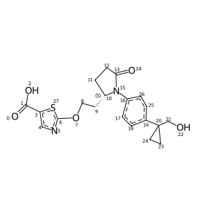 O=C(O)c1cnc(OCC[C@@H]2CCC(=O)N2c2ccc(C3(CO)CC3)cc2)s1